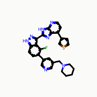 Fc1c(-c2cncc(CN3CCCCC3)c2)ccc2[nH]nc(-c3nc4c(-c5ccsc5)ccnc4[nH]3)c12